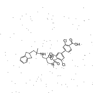 CN(CC(O)CNC(C)(C)CC1Cc2ccccc2C1)S(=O)(=O)c1c(Cl)cc(-c2ccc(C(=O)O)c(Cl)c2)cc1Cl